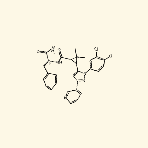 CC1(C)C(C(=O)N[C@@H](Cc2ccccc2)C(N)=O)C1c1cc(-c2cccnc2)nn1-c1ccc(Cl)c(Cl)c1